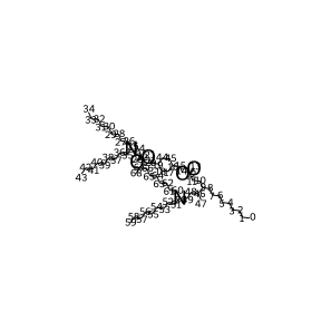 CCCCCCCCCC(CCC(=O)OCC1CCC(COC(=O)CN(CCCCCCCCC)CCCCCCCCC)CC1)C(C)CCN(CCCCCCCCC)CCCCCCCCC